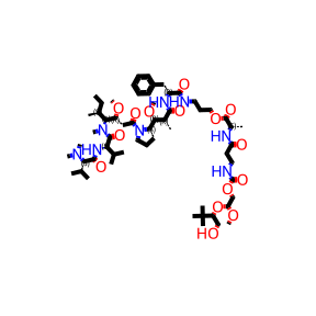 CC[C@H](C)[C@@H]([C@@H](CC(=O)N1CCC[C@H]1[C@H](OC)[C@@H](C)C(=O)N[C@H](Cc1ccccc1)C(=O)NCCCOC(=O)[C@H](C)NC(=O)CCNC(=O)OCC(OC)OC(CO)C(C)(C)C)OC)N(C)C(=O)[C@@H](NC(=O)[C@H](C(C)C)N(C)C)C(C)C